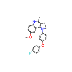 COc1ccc2nc(C)c3c(c2c1)N(c1ccc(Oc2ccc(F)cc2)cc1)CC3